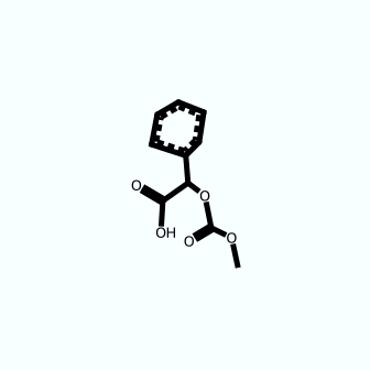 COC(=O)OC(C(=O)O)c1ccccc1